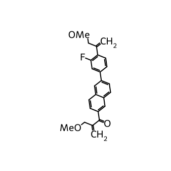 C=C(COC)C(=O)c1ccc2cc(-c3ccc(C(=C)COC)c(F)c3)ccc2c1